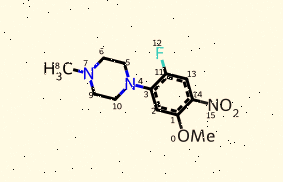 COc1cc(N2CCN(C)CC2)c(F)cc1[N+](=O)[O-]